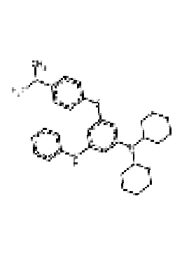 CC(C)c1ccc(Sc2cc(Nc3ccccc3)cc(N(C3CCCCC3)C3CCCCC3)c2)cc1